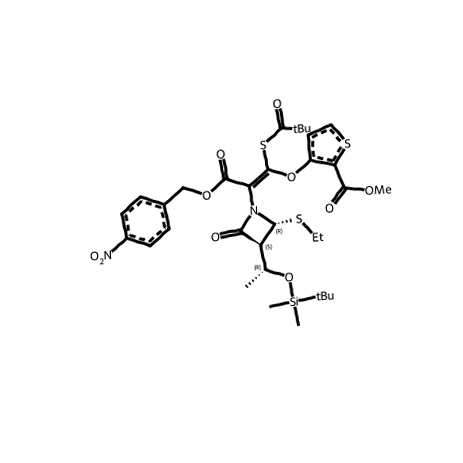 CCS[C@@H]1[C@@H]([C@@H](C)O[Si](C)(C)C(C)(C)C)C(=O)N1C(C(=O)OCc1ccc([N+](=O)[O-])cc1)=C(Oc1ccsc1C(=O)OC)SC(=O)C(C)(C)C